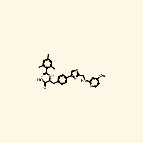 COc1ccnc(NCc2nc(-c3ccc(CC(NC(=O)c4c(C)cc(C)cc4C)C(=O)O)cc3)cs2)c1